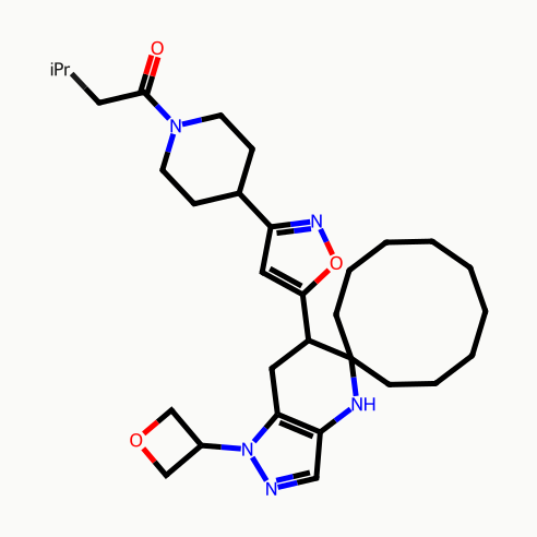 CC(C)CC(=O)N1CCC(c2cc(C3Cc4c(cnn4C4COC4)NC34CCCCCCCCC4)on2)CC1